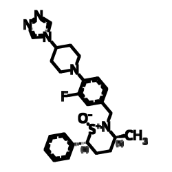 C[C@H]1CC[C@H](c2ccccc2)[S+]([O-])N1Cc1ccc(N2CCC(n3cnnc3)CC2)c(F)c1